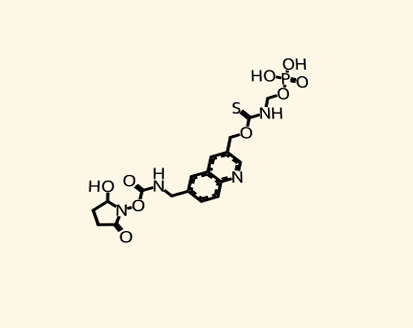 O=C(NCc1ccc2ncc(COC(=S)NCOP(=O)(O)O)cc2c1)ON1C(=O)CCC1O